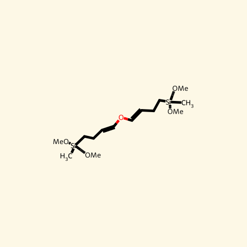 CO[Si](C)(CCC=COC=CCC[Si](C)(OC)OC)OC